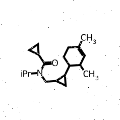 CC1=CC(C)C(C2CC2CN(C(=O)C2CC2)C(C)C)CC1